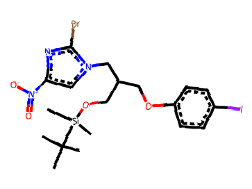 CC(C)(C)[Si](C)(C)OCC(COc1ccc(I)cc1)Cn1cc([N+](=O)[O-])nc1Br